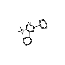 C[Si](C)(C)c1cnc(-c2ccccc2)cc1-c1ccccc1